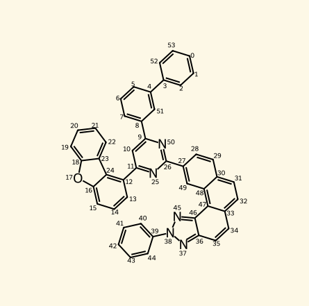 c1ccc(-c2cccc(-c3cc(-c4cccc5oc6ccccc6c45)nc(-c4ccc5ccc6ccc7nn(-c8ccccc8)nc7c6c5c4)n3)c2)cc1